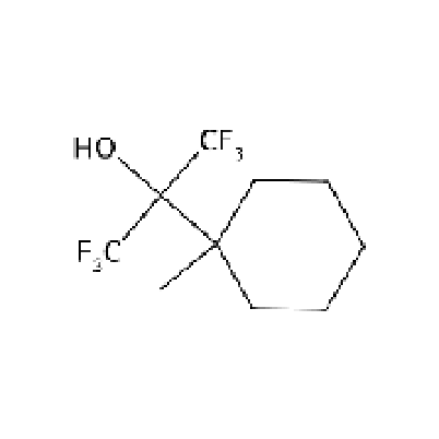 CC1(C(O)(C(F)(F)F)C(F)(F)F)CCCCC1